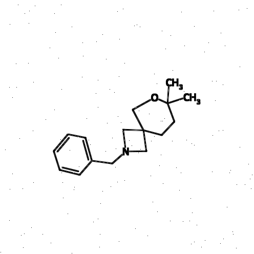 CC1(C)CCC2(CO1)CN(Cc1ccccc1)C2